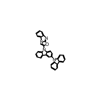 c1ccc2c(c1)nc1oc(-n3c4ccccc4c4cc(-n5c6ccccc6c6ccccc65)ccc43)cn12